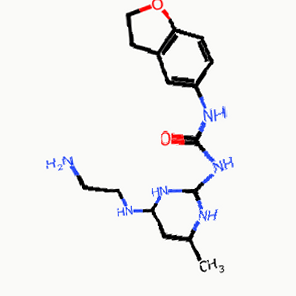 CC1CC(NCCN)NC(NC(=O)Nc2ccc3c(c2)CCO3)N1